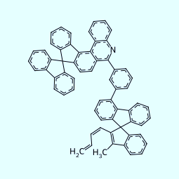 C=C/C=C\C1=C(C)c2ccccc2C12c1ccccc1-c1c(-c3cccc(-c4nc5ccccc5c5c6c(ccc45)C4(c5ccccc5-c5ccccc54)c4ccccc4-6)c3)cccc12